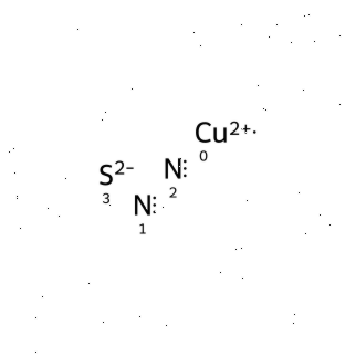 [Cu+2].[N].[N].[S-2]